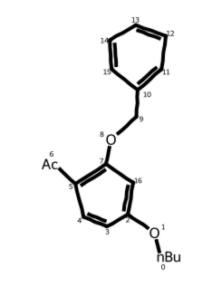 CCCCOc1ccc(C(C)=O)c(OCc2ccccc2)c1